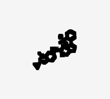 C1CC1.Cn1ncc2ccc(Nc3ncc4ccc(-c5ccccc5S(C)(=O)=O)n4n3)cc21